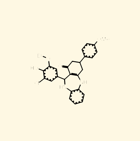 CCOc1cc(C2Nc3ccccc3NC3=C2C(=O)CC(c2ccc(OC)cc2)C3)cc(Cl)c1O